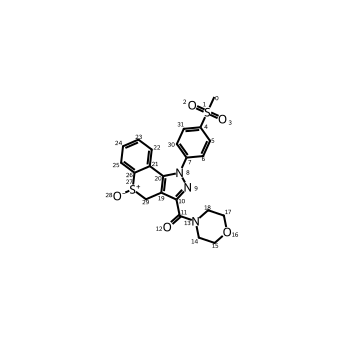 CS(=O)(=O)c1ccc(-n2nc(C(=O)N3CCOCC3)c3c2-c2ccccc2[S+]([O-])C3)cc1